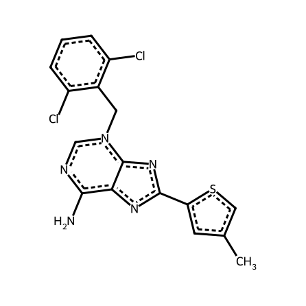 Cc1csc(-c2nc3c(N)ncn(Cc4c(Cl)cccc4Cl)c-3n2)c1